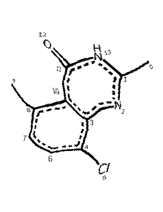 Cc1nc2c(Cl)ccc(C)c2c(=O)[nH]1